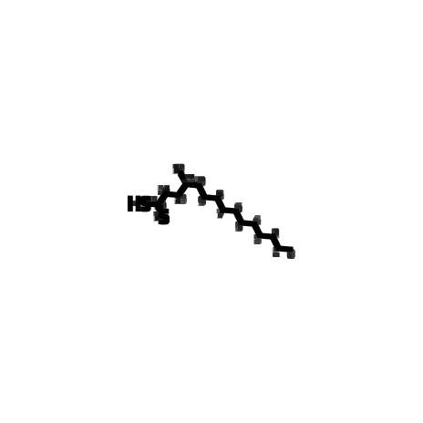 CCCCCCCCCCC[C@H](C)CCC(=S)S